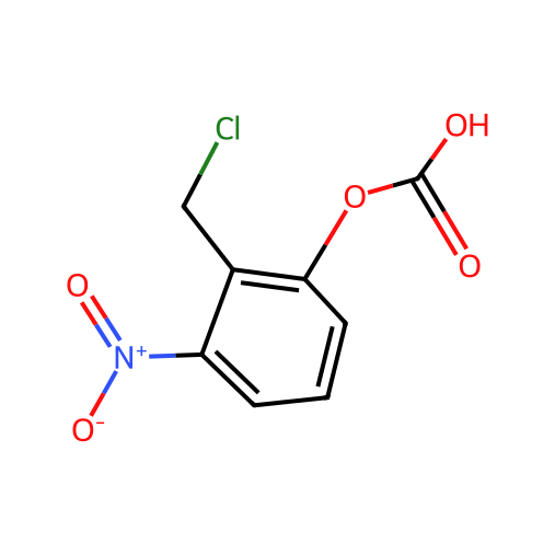 O=C(O)Oc1cccc([N+](=O)[O-])c1CCl